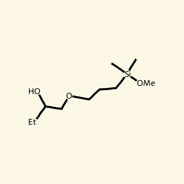 CCC(O)COCCC[Si](C)(C)OC